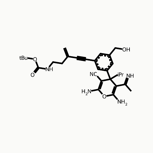 C=C(C#Cc1cc(CO)cc(C2(C(C)C)C(C#N)=C(N)OC(N)=C2C(C)=N)c1)CCNC(=O)OC(C)(C)C